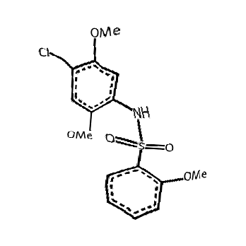 COc1cc(NS(=O)(=O)c2ccccc2OC)c(OC)cc1Cl